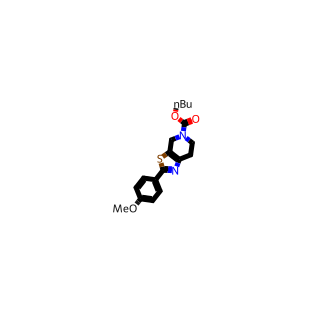 CCCCOC(=O)N1CCc2nc(-c3ccc(OC)cc3)sc2C1